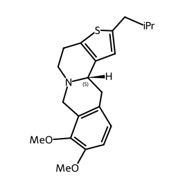 COc1ccc2c(c1OC)CN1CCc3sc(CC(C)C)cc3[C@@H]1C2